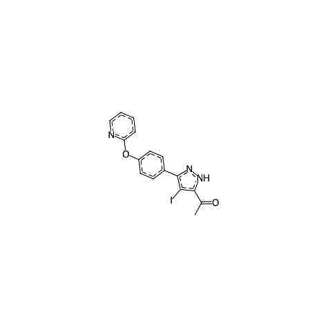 CC(=O)c1[nH]nc(-c2ccc(Oc3ccccn3)cc2)c1I